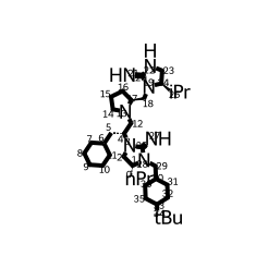 CCC[C@@H]1CN([C@H](CC2CCCCC2)CN2CCC[C@H]2CN2C(=N)NC[C@H]2C(C)C)C(=N)N1CC1CCC(C(C)(C)C)CC1